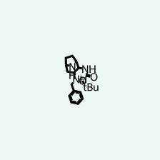 CC(C)(C)OC(=O)NC1C(NCc2ccccc2)CC2CCC1N2